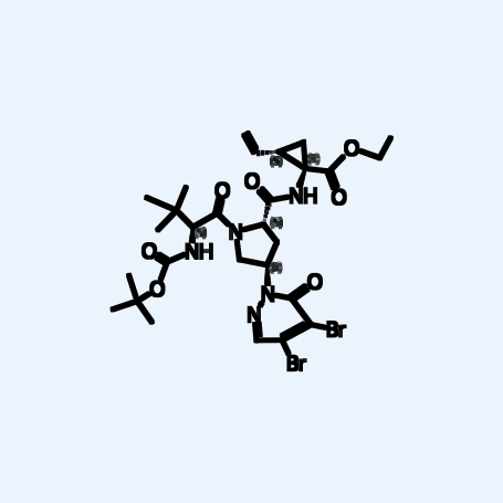 C=C[C@@H]1C[C@]1(NC(=O)[C@@H]1C[C@@H](n2ncc(Br)c(Br)c2=O)CN1C(=O)[C@@H](NC(=O)OC(C)(C)C)C(C)(C)C)C(=O)OCC